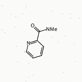 CNC(=O)c1ccc[c]n1